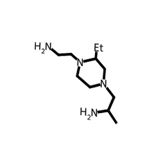 CCC1CN(CC(C)N)CCN1CCN